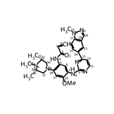 C=CC(=O)Nc1cc(Nc2nccc(-c3ccc4c(cnn4C)c3)n2)c(OC)cc1N1C[C@@H](C)N(C)[C@@H](C)C1